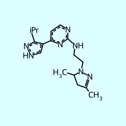 CC1=NN(CCNc2nccc(-c3c[nH]nc3C(C)C)n2)C(C)C1